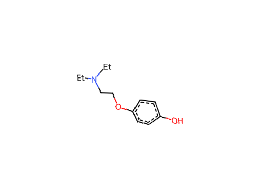 CCN(CC)CCOc1ccc(O)cc1